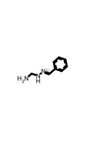 NCN/N=C/c1ccccc1